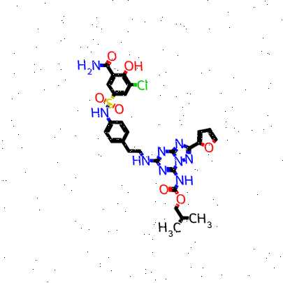 CC(C)COC(=O)Nc1nc(NCCc2ccc(NS(=O)(=O)c3cc(Cl)c(O)c(C(N)=O)c3)cc2)nc2nc(-c3ccco3)nn12